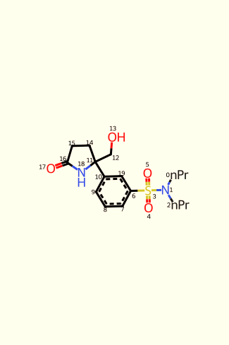 CCCN(CCC)S(=O)(=O)c1cccc(C2(CO)CCC(=O)N2)c1